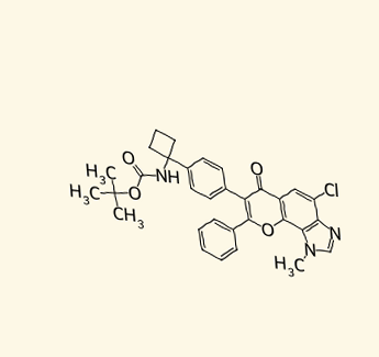 Cn1cnc2c(Cl)cc3c(=O)c(-c4ccc(C5(NC(=O)OC(C)(C)C)CCC5)cc4)c(-c4ccccc4)oc3c21